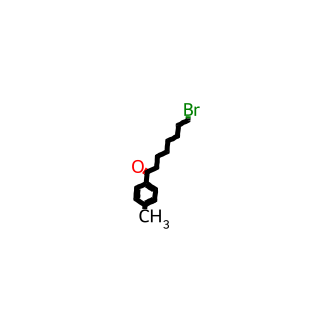 Cc1ccc(C(=O)CCCCCCCBr)cc1